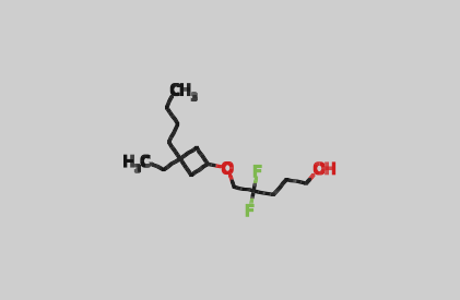 CCCCC1(CC)CC(OCC(F)(F)CCCO)C1